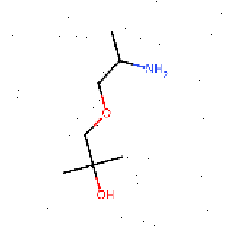 CC(N)COCC(C)(C)O